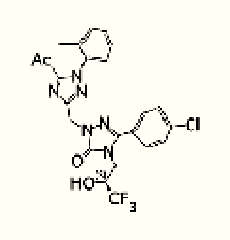 CC(=O)c1nc(Cn2nc(-c3ccc(Cl)cc3)n(C[C@H](O)C(F)(F)F)c2=O)nn1-c1ccccc1C